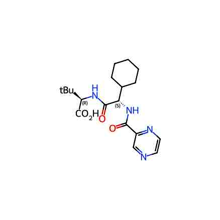 CC(C)(C)[C@@H](NC(=O)[C@@H](NC(=O)c1cnccn1)C1CCCCC1)C(=O)O